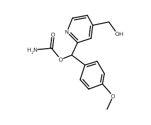 COc1ccc(C(OC(N)=O)c2cc(CO)ccn2)cc1